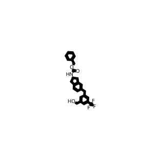 O=C(N[C@H]1Cc2ccc(Cc3cc(CO)cc(C(F)(F)F)c3)cc2C1)OCc1ccccc1